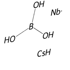 OB(O)O.[CsH].[Nb]